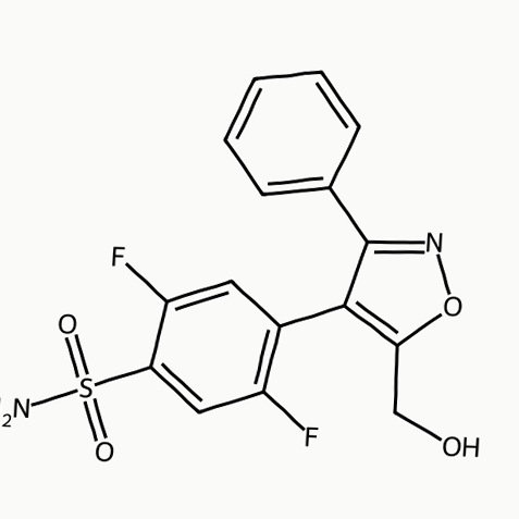 NS(=O)(=O)c1cc(F)c(-c2c(-c3ccccc3)noc2CO)cc1F